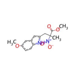 COC(=O)C(C)(Cc1cc2cc(OC)ccc2[nH]1)[N+](=O)[O-]